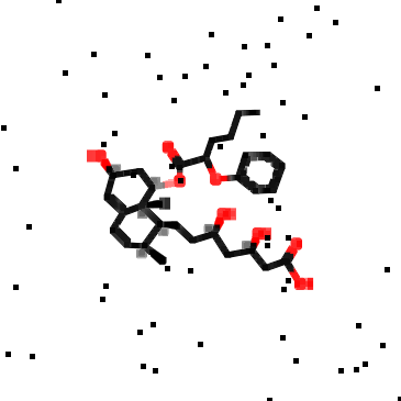 CCCCC(Oc1ccccc1)C(=O)O[C@H]1C[C@H](O)C=C2C=C[C@H](C)[C@H](CC[C@@H](O)C[C@@H](O)CC(=O)O)[C@H]21